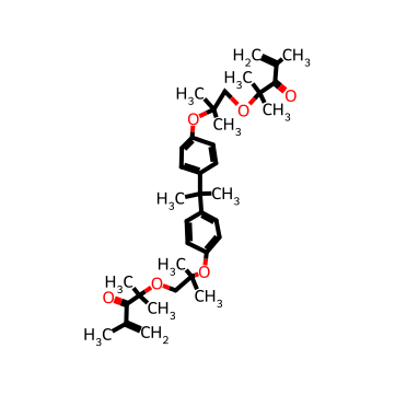 C=C(C)C(=O)C(C)(C)OCC(C)(C)Oc1ccc(C(C)(C)c2ccc(OC(C)(C)COC(C)(C)C(=O)C(=C)C)cc2)cc1